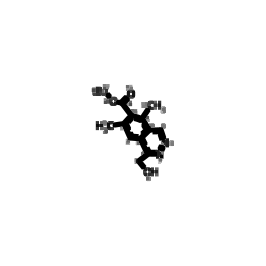 Cc1cc2c(CO)nncc2c(C)c1C(=O)OC(C)(C)C